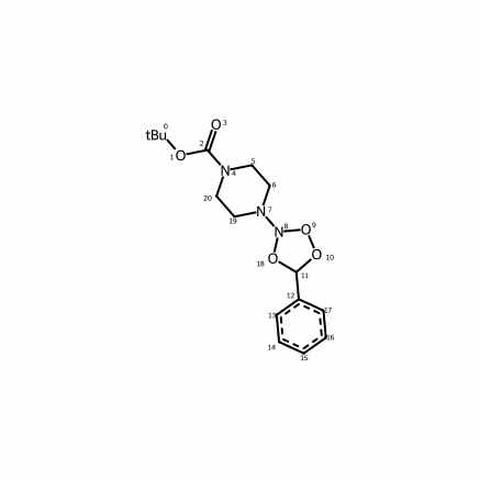 CC(C)(C)OC(=O)N1CCN(N2OOC(c3ccccc3)O2)CC1